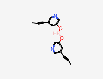 CC#Cc1cncc(OBOc2cncc(C#CC)c2)c1